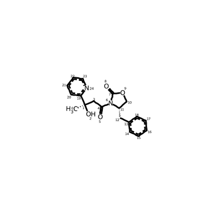 C[C@@](O)(CC(=O)N1C(=O)OC[C@@H]1Cc1ccccc1)c1ccccn1